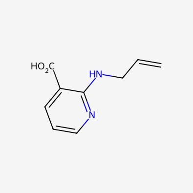 C=CCNc1ncccc1C(=O)O